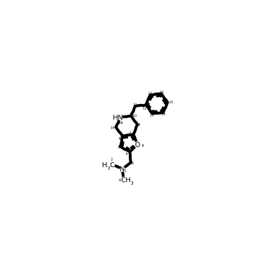 CN(C)Cc1cc2c(o1)CC(Cc1ccccc1)NC2